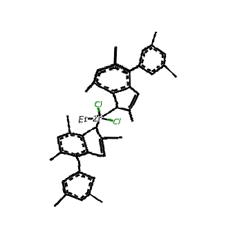 C[CH2][Zr]([Cl])([Cl])([CH]1C(C)=Cc2c(-c3cc(C)cc(C)c3)c(C)cc(C)c21)[CH]1C(C)=Cc2c(-c3cc(C)cc(C)c3)c(C)cc(C)c21